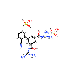 CS(=O)(=O)O.CS(=O)(=O)O.N#Cc1ccccc1-c1cc(C(=O)N=C(N)N)cc(C(=O)N=C(N)N)c1